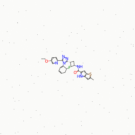 CCOc1ccc(-c2nnc([C@H]3C[C@H](NC(=O)c4cc5sc(C)cc5[nH]4)C3)n2C2=CC=CCC2F)nc1